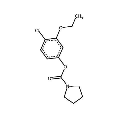 CCOc1cc(OC(=O)N2CCCC2)ccc1Cl